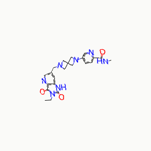 CCn1c(=O)[nH]c2cc(CN3CC4(C3)CN(c3ccc(C(=O)NC)nc3)C4)cnc2c1=O